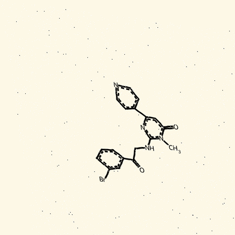 Cn1c(NCC(=O)c2cccc(Br)c2)nc(-c2ccncc2)cc1=O